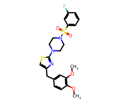 COc1ccc(Cc2csc(N3CCN(S(=O)(=O)c4cccc(F)c4)CC3)n2)cc1OC